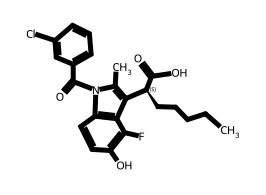 CCCCC[C@H](C(=O)O)c1c(C)n(C(=O)c2cccc(Cl)c2)c2ccc(O)c(F)c12